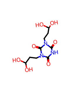 O=c1[nH]c(=O)n(CCC(O)O)c(=O)n1CCC(O)O